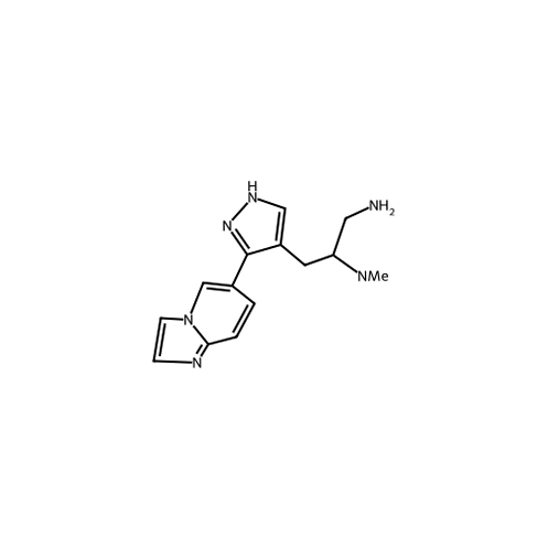 CNC(CN)Cc1c[nH]nc1-c1ccc2nccn2c1